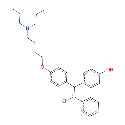 CCCN(CCC)CCCCOc1ccc(/C(=C(\Cl)c2ccccc2)c2ccc(O)cc2)cc1